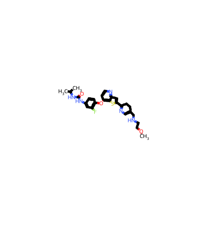 COCCNCC1=CN=C(c2cc3nccc(Oc4ccc(NC(=O)NC(C)C)cc4F)c3s2)CC1